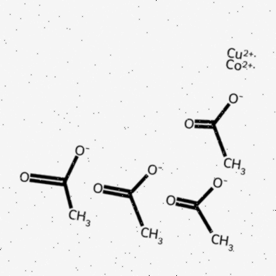 CC(=O)[O-].CC(=O)[O-].CC(=O)[O-].CC(=O)[O-].[Co+2].[Cu+2]